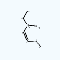 CC/C=C\N(N)CC